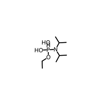 CCO[PH](O)(O)N(C(C)C)C(C)C